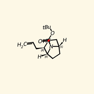 C=CC[C@H]1NC[C@@H]2CC[C@H]1N2C(=O)OC(C)(C)C